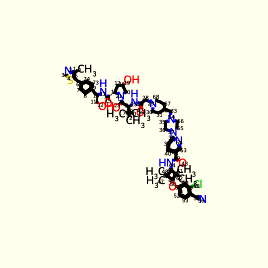 Cc1ncsc1-c1ccc([C@H](CO)NC(=O)[C@@H]2C[C@@H](O)CN2C(=O)[C@@H](NC(=O)CN2CCC(CN3CCN(c4ccc(C(=O)NC5C(C)(C)C(Oc6ccc(C#N)c(Cl)c6)C5(C)C)cn4)CC3)CC2)C(C)(C)C)cc1